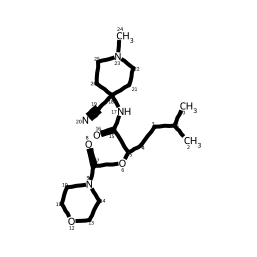 CC(C)CCC(OC(=O)N1CCOCC1)C(=O)NC1(C#N)CCN(C)CC1